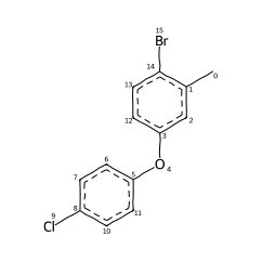 Cc1cc(Oc2ccc(Cl)cc2)ccc1Br